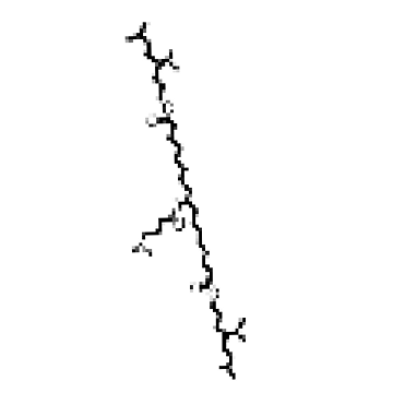 CC(C)CCC(CCCOC(=O)CCCCCCCC(CCCCCCCC(=O)OCCCC(CCC(C)C)C(C)C)OC(=O)CCCN(C)C)C(C)C